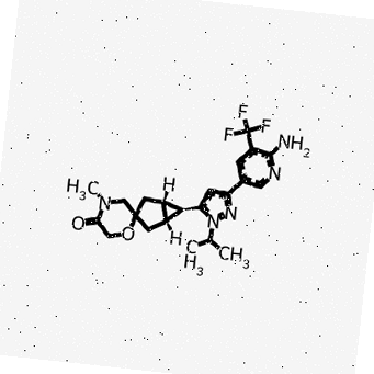 CC(C)n1nc(-c2cnc(N)c(C(F)(F)F)c2)cc1[C@H]1[C@@H]2CC3(C[C@@H]21)CN(C)C(=O)CO3